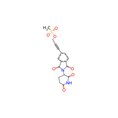 CS(=O)(=O)OCC#Cc1ccc2c(c1)C(=O)N(C1CCC(=O)NC1=O)C2=O